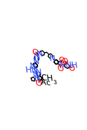 CC(=O)c1c(C)c2cnc(Nc3ccc(N4CCN(C(=O)N5CCC(CC6CCN(c7ccc8c(c7)C(=O)N(C7CCC(=O)NC7=O)C8=O)CC6)CC5)CC4)cn3)nc2n(C2CCCC2)c1=O